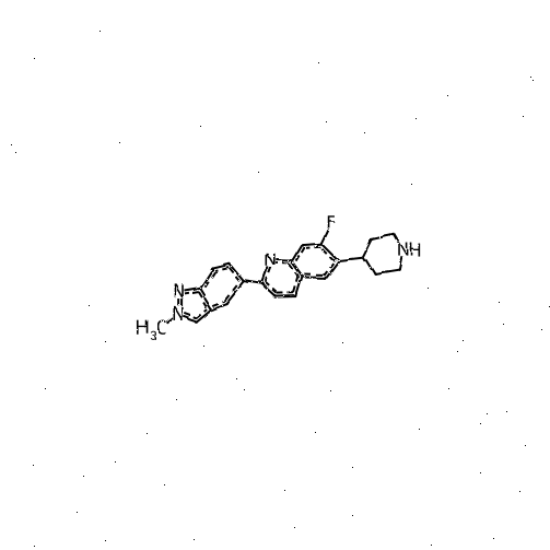 Cn1cc2cc(-c3ccc4cc(C5CCNCC5)c(F)cc4n3)ccc2n1